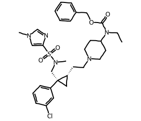 CCN(C(=O)OCc1ccccc1)C1CCN(CC[C@@H]2C[C@@]2(CN(C)S(=O)(=O)c2cn(C)cn2)c2cccc(Cl)c2)CC1